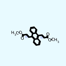 COC(=O)/C=C/c1c2ccccc2c(/C=C/C(=O)OC)c2ccccc12